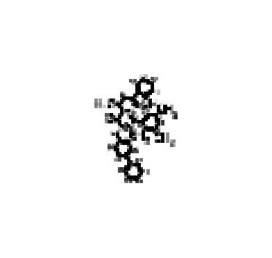 Cc1cc(C)cc(C(=O)N(C)[C@H](Cc2ccc(-c3ccccc3)cc2)C(=O)C[C@H](C)Cc2c[nH]c3ccccc23)c1